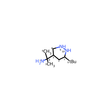 CC(C)(C)C1CC(C(C)(C)N)CNN1